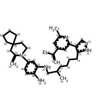 C=C(CC)c1cc(C)nc(-c2cn[nH]c2CCCCC(C)CNc2cc(N3CCC4(CCCC4)CC3=C)ccc2N)c1